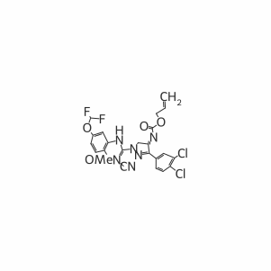 C=CCOC(=O)/N=C1\CN(/C(=N\C#N)Nc2cc(OC(F)F)ccc2OC)N=C1c1ccc(Cl)c(Cl)c1